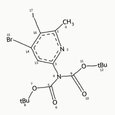 Cc1nc(N(C(=O)OC(C)(C)C)C(=O)OC(C)(C)C)cc(Br)c1I